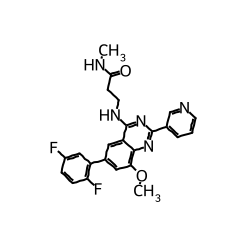 CNC(=O)CCNc1nc(-c2cccnc2)nc2c(OC)cc(-c3cc(F)ccc3F)cc12